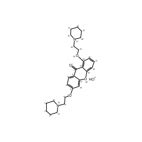 Cl.O=c1c2ccc(OCCN3CCCCC3)cc2oc2cccc(OCCN3CCCCC3)c12